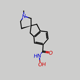 CN1CC[C@]2(Cc3ccc(C(=O)NO)cc3C2)C1